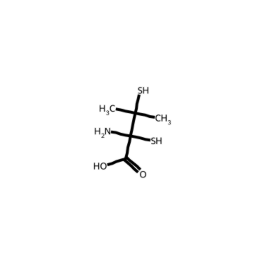 CC(C)(S)C(N)(S)C(=O)O